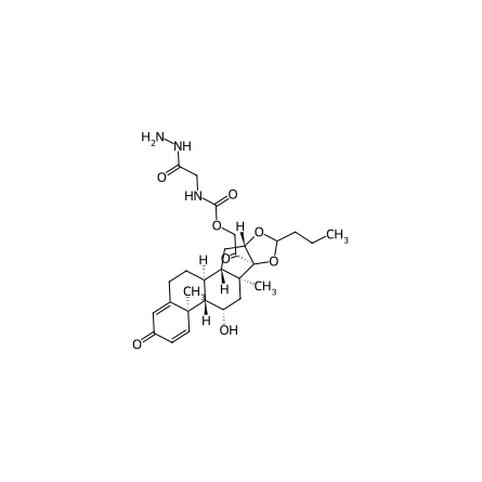 CCCC1O[C@H]2C[C@H]3[C@@H]4CCC5=CC(=O)C=C[C@]5(C)[C@H]4[C@@H](O)C[C@]3(C)[C@]2(C(=O)COC(=O)NCC(=O)NN)O1